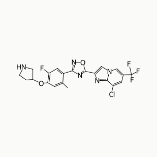 Cc1cc(OC2CCNC2)c(F)cc1-c1noc(-c2cn3cc(C(F)(F)F)cc(Cl)c3n2)n1